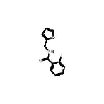 O=C(NCc1ccco1)c1ccccc1I